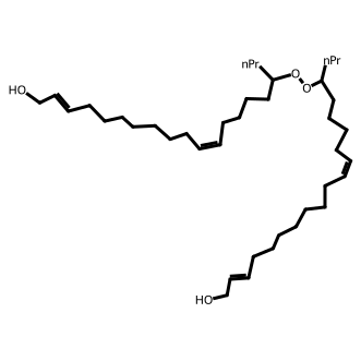 CCCC(CCCC/C=C\CCCCCCCC=CCO)OOC(CCC)CCCC/C=C\CCCCCCCC=CCO